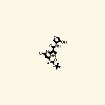 CN(C(=O)OC(C)(C)C)c1cc(Cl)nc2c(C(=O)N[C@H]3COCC3O)cnn12